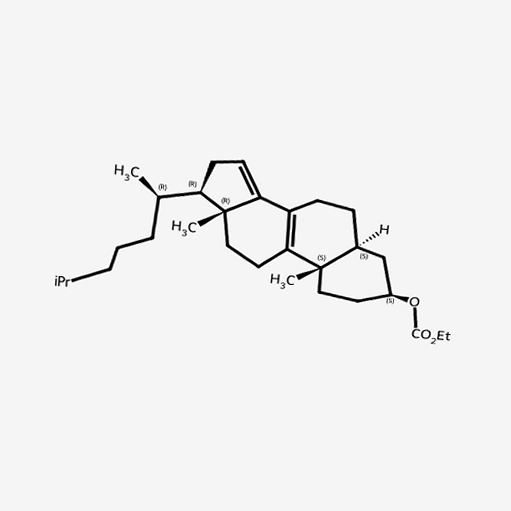 CCOC(=O)O[C@H]1CC[C@]2(C)C3=C(CC[C@H]2C1)C1=CC[C@H]([C@H](C)CCCC(C)C)[C@@]1(C)CC3